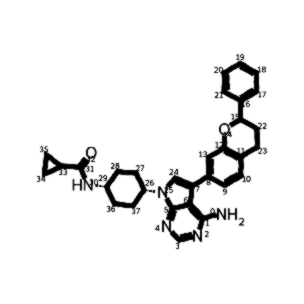 Nc1ncnc2c1c(-c1ccc3c(c1)OC(c1ccccc1)CC3)cn2[C@H]1CC[C@@H](NC(=O)C2CC2)CC1